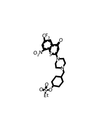 CCS(=O)(=O)OC1CCC(CN2CCN(c3cc(=O)c4cc(C(F)(F)F)cc([N+](=O)[O-])c4s3)CC2)CC1